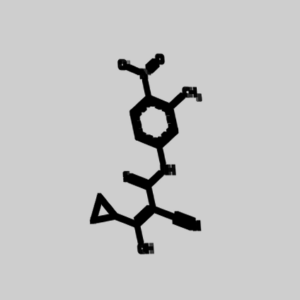 Cc1cc(NC(=S)/C(C#N)=C(/O)C2CC2)ccc1[N+](=O)[O-]